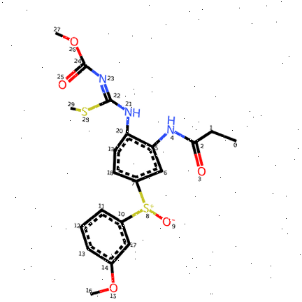 CCC(=O)Nc1cc([S+]([O-])c2cccc(OC)c2)ccc1NC(=NC(=O)OC)SC